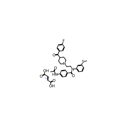 CSc1cccc(N(CCN2CCC(C(=O)c3ccc(F)cc3)CC2)C(=O)c2ccc(NC(C)=O)cc2)c1.O=C(O)/C=C/C(=O)O